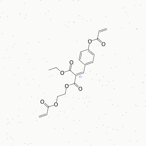 C=CC(=O)OCCOC(=O)/C(=C/c1ccc(OC(=O)C=C)cc1)C(=O)OCC